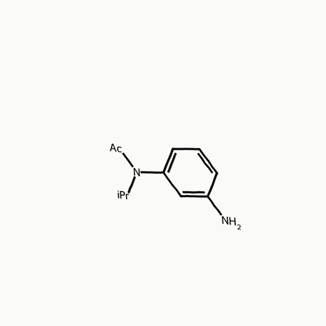 CC(=O)N(c1cccc(N)c1)C(C)C